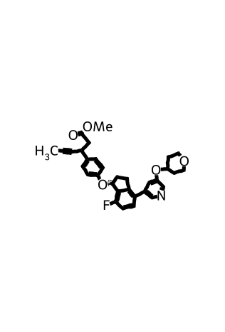 CC#CC(CC(=O)OC)c1ccc(O[C@@H]2CCc3c(-c4cncc(OC5CCOCC5)c4)ccc(F)c32)cc1